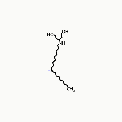 CCCCCCCC/C=C\CCCCCCCCNC(CCO)CCO